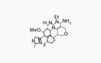 CCN1C(N)C2=C(C(c3ccc(F)cc3)COC2)N(c2ccc(-n3cnc(C)n3)c(OC)c2)C1N